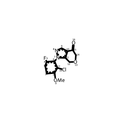 COc1ccc(F)c(-n2ncc3c2COCC3=O)c1Cl